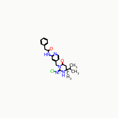 CC(C)[C@]1(C)CC(=O)N(Cc2ccnc(NC(=O)Cc3ccccc3)c2)/C(=N\Cl)N1